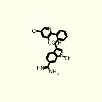 CCn1cc(Cc2ccccc2-c2ncc(Cl)cc2C(=O)O)c2ccc(C(=N)N)cc21